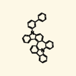 c1ccc(-c2cccc(-n3c4ccccc4c4c5c(ccc43)-c3ccccc3-n3c4ccccc4c4cccc-5c43)c2)cc1